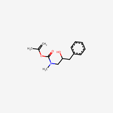 C=C(C)OC(=O)N(C)CC(O)Cc1ccccc1